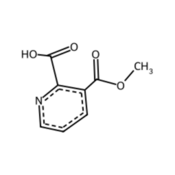 COC(=O)c1cccnc1C(=O)O